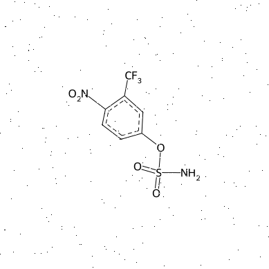 NS(=O)(=O)Oc1ccc([N+](=O)[O-])c(C(F)(F)F)c1